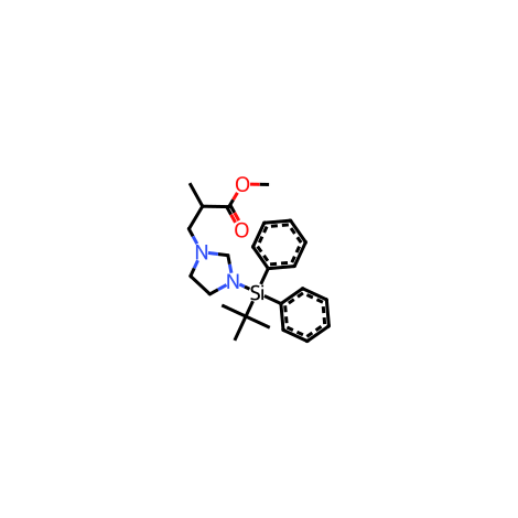 COC(=O)C(C)CN1CCN([Si](c2ccccc2)(c2ccccc2)C(C)(C)C)C1